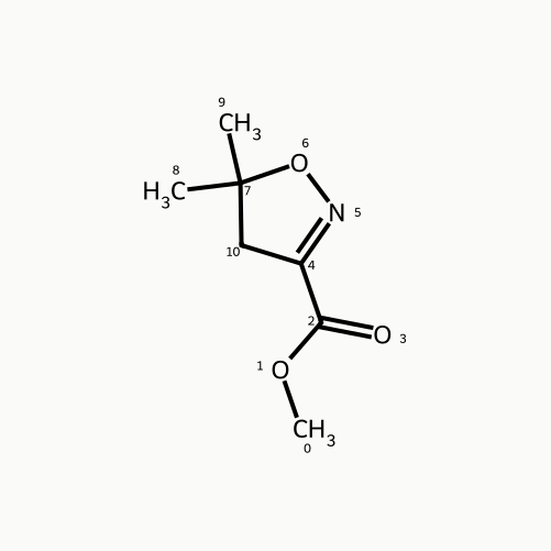 COC(=O)C1=NOC(C)(C)C1